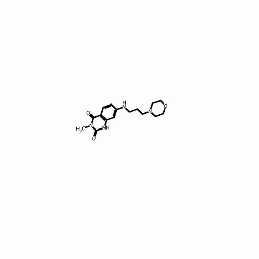 Cn1c(=O)[nH]c2cc(NCCCN3CCOCC3)ccc2c1=O